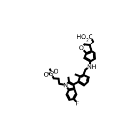 Cc1c(CNc2ccc3c(c2)OC[C@H]3CC(=O)O)cccc1-c1c(C)n(CCCS(C)(=O)=O)c2ccc(F)cc12